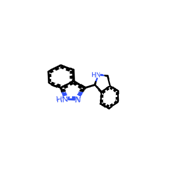 c1ccc2c(c1)CN[C]2c1n[nH]c2ccccc12